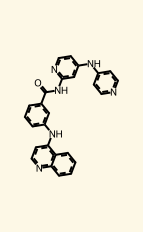 O=C(Nc1cc(Nc2ccncc2)ccn1)c1cccc(Nc2ccnc3ccccc23)c1